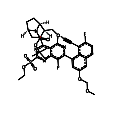 CC#Cc1c(F)ccc2cc(OCOC)cc(-c3nc4c5c(nc(S(=O)(=O)OCC)nc5c3F)N3C[C@H]5CC[C@@H]([C@H]3CO4)N5C(=O)OC(C)(C)C)c12